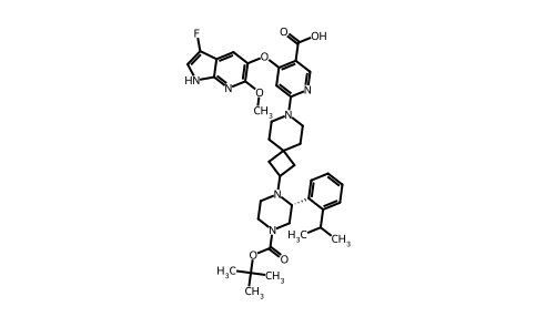 COc1nc2[nH]cc(F)c2cc1Oc1cc(N2CCC3(CC2)CC(N2CCN(C(=O)OC(C)(C)C)C[C@H]2c2ccccc2C(C)C)C3)ncc1C(=O)O